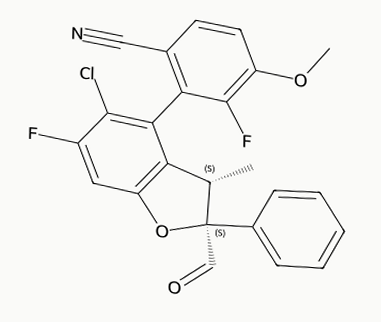 COc1ccc(C#N)c(-c2c(Cl)c(F)cc3c2[C@H](C)[C@@](C=O)(c2ccccc2)O3)c1F